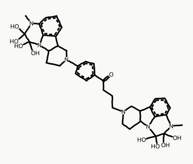 CN1c2cccc3c2N(C2CCN(CCCC(=O)c4ccc(N5CCC6C(C5)c5cccc7c5N6C(O)(O)C(O)(O)N7C)cc4)CC32)C(O)(O)C1(O)O